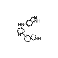 c1cc(Nc2ccc3[nH]ncc3c2)nc(N2CCCC3(CCNC3)C2)n1